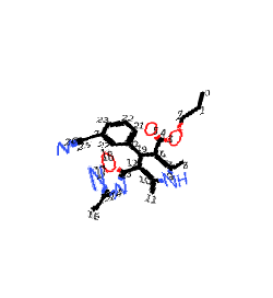 CCCOC(=O)C1=C(C)NC(C)=C(c2nc(C)no2)C1c1cccc(C#N)c1